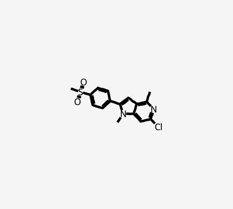 Cc1nc(Cl)cc2c1cc(-c1ccc(S(C)(=O)=O)cc1)n2C